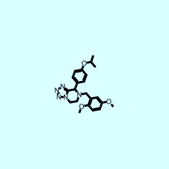 COc1ccc(OC)c(CN2CCn3nnnc3C2c2ccc(OC(C)C)cc2)c1